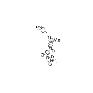 COC1(COCCC2CCNCC2)CCN(C(=O)c2ccc(Cl)c(N3CCC(=O)NC3=O)c2)CC1